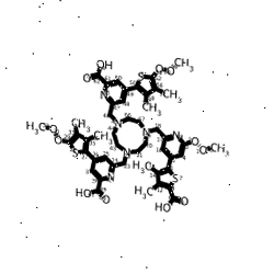 COOc1cc(-c2sc(C(=O)O)c(C)c2C)cc(CN2CCN(Cc3cc(-c4sc(OOC)c(C)c4C)cc(C(=O)O)n3)CCN(Cc3cc(-c4sc(OOC)c(C)c4C)cc(C(=O)O)n3)CC2)n1